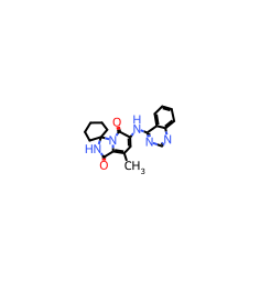 Cc1cc(Nc2ncnc3ccccc23)c(=O)n2c1C(=O)NC21CCCCC1